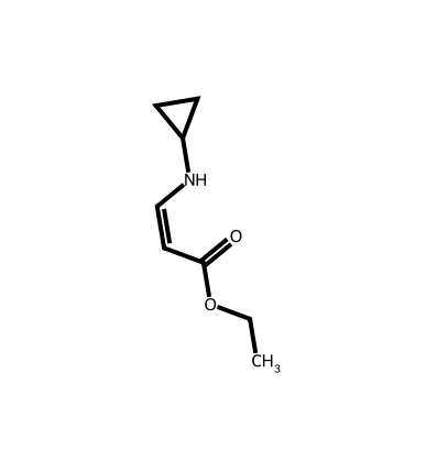 CCOC(=O)/C=C\NC1CC1